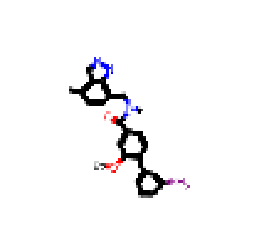 CCOc1cc(C(=O)N(C)Cc2ccc(C)c3cn[nH]c23)ccc1-c1cccc(P)c1